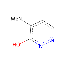 CNc1ccnnc1O